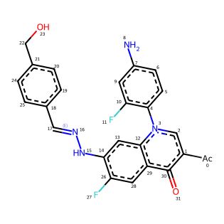 CC(=O)c1cn(-c2ccc(N)cc2F)c2cc(N/N=C/c3ccc(CO)cc3)c(F)cc2c1=O